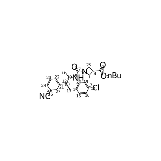 CCCCOC(=O)C1CN(C(=O)NC(C)[C@@H](Cc2ccc(Cl)cc2)c2cccc(C#N)c2)C1